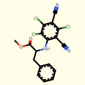 COC(=O)C(Cc1ccccc1)Nc1c(Cl)c(Cl)c(C#N)c(Cl)c1C#N